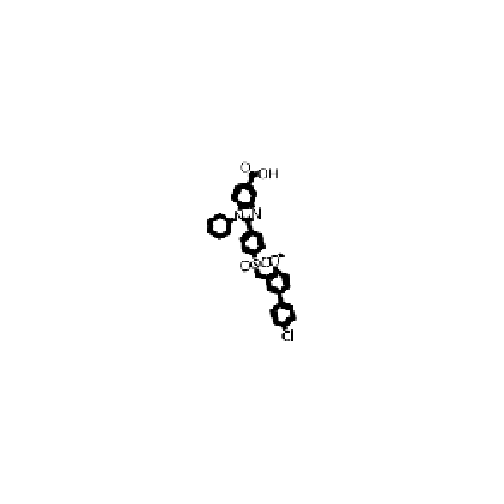 COc1ccc(-c2ccc(Cl)cc2)cc1CS(=O)(=O)c1ccc(-c2nc3cc(C(=O)O)ccc3n2C2CCCCC2)cc1